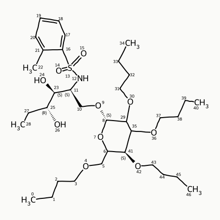 CCCCOCC1O[C@H](OC[C@H](NS(=O)(=O)c2ccccc2C)[C@H](O)[C@H](O)CC)C(OCCCC)C(OCCCC)[C@H]1OCCCC